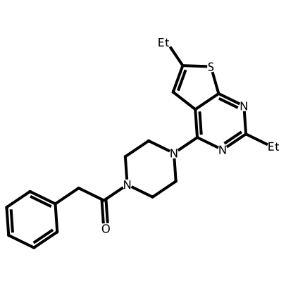 CCc1nc(N2CCN(C(=O)Cc3ccccc3)CC2)c2cc(CC)sc2n1